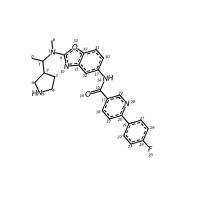 CC(C1CCNC1)N(C)c1nc2cc(NC(=O)c3ccc(-c4ccc(F)cc4)nc3)ccc2o1